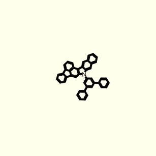 c1ccc(-c2cc(-c3ccccc3)cc(-n3c4cc5ccccc5cc4c4c5cccc6c5c(cc43)-c3ccccc3-6)c2)cc1